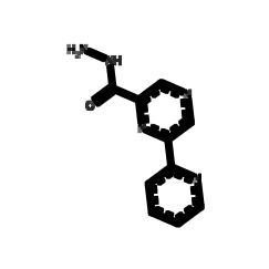 NNC(=O)c1cncc(-c2ccccn2)n1